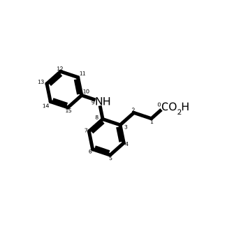 O=C(O)CCc1ccccc1Nc1ccccc1